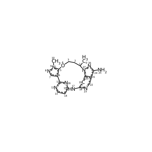 CC1CCOc2c(cnn2C)-c2nccc(n2)Nc2cc3c(cn2)c(N)nn31